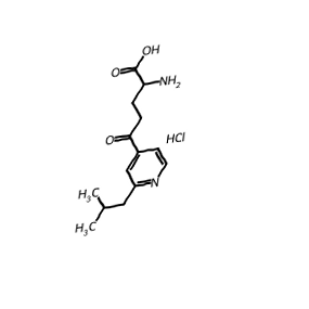 CC(C)Cc1cc(C(=O)CCC(N)C(=O)O)ccn1.Cl